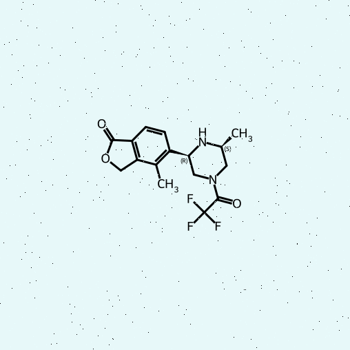 Cc1c([C@@H]2CN(C(=O)C(F)(F)F)C[C@H](C)N2)ccc2c1COC2=O